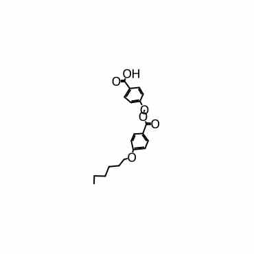 CCCCCCOc1ccc(C(=O)OOc2ccc(C(=O)O)cc2)cc1